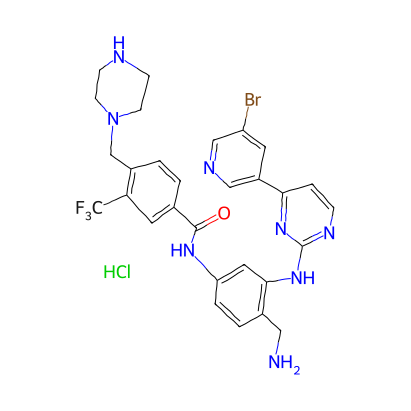 Cl.NCc1ccc(NC(=O)c2ccc(CN3CCNCC3)c(C(F)(F)F)c2)cc1Nc1nccc(-c2cncc(Br)c2)n1